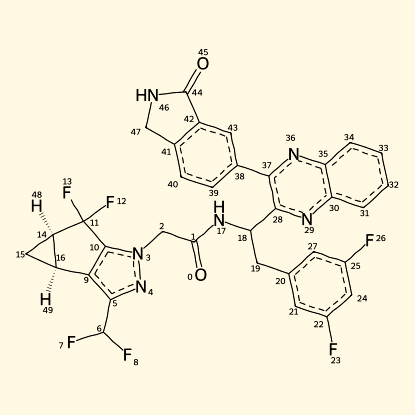 O=C(Cn1nc(C(F)F)c2c1C(F)(F)[C@@H]1C[C@H]21)NC(Cc1cc(F)cc(F)c1)c1nc2ccccc2nc1-c1ccc2c(c1)C(=O)NC2